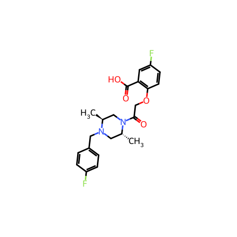 C[C@@H]1CN(Cc2ccc(F)cc2)[C@@H](C)CN1C(=O)COc1ccc(F)cc1C(=O)O